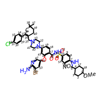 COC1CCC(CNc2ccc(S(=O)(=O)NC(=O)c3ccc(N4CCN(CC5=C(c6ccc(Cl)cc6)CC(C)(C)CC5)CC4)cc3Oc3cnc(N)c(Br)c3)cc2[N+](=O)[O-])CC1